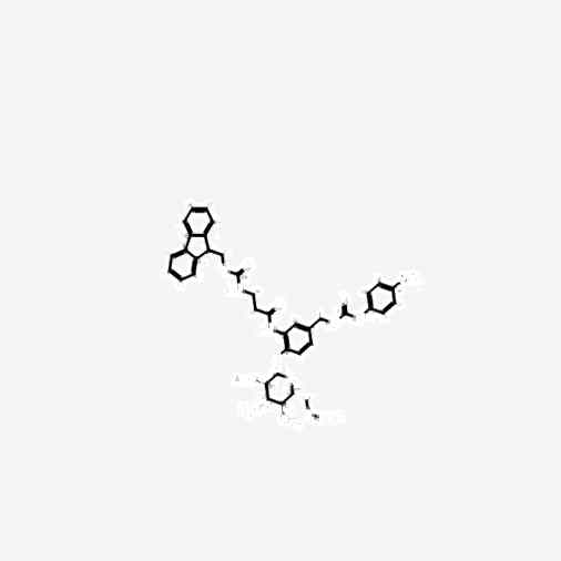 CC(=O)O[C@H]1[C@H](Oc2ccc(COC(=O)Oc3ccc([N+](=O)[O-])cc3)cc2NC(=O)CCNC(=O)OCC2c3ccccc3-c3ccccc32)O[C@H](COC=O)[C@@H](C)[C@@H]1C